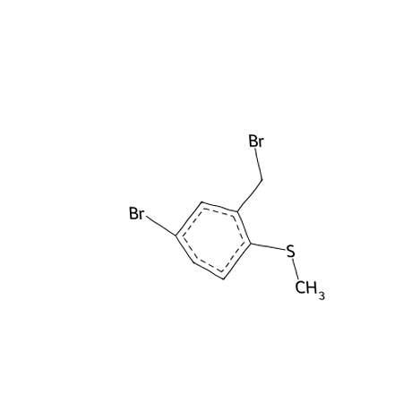 CSc1ccc(Br)cc1CBr